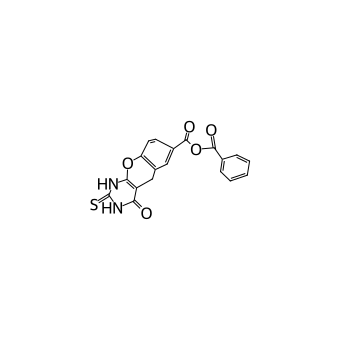 O=C(OC(=O)c1ccc2c(c1)Cc1c([nH]c(=S)[nH]c1=O)O2)c1ccccc1